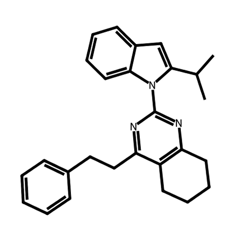 CC(C)c1cc2ccccc2n1-c1nc2c(c(CCc3ccccc3)n1)CCCC2